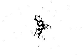 CCN1CCC(C)(C(=O)NCC(C)C)CC1